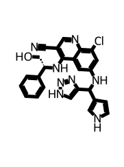 N#Cc1cnc2c(Cl)cc(NC(c3cc[nH]c3)c3c[nH]nn3)cc2c1N[C@@H](CO)c1ccccc1